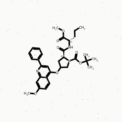 CCC[C@H](NC(=O)[C@@H]1CC(Oc2cc(-c3ccccc3)nc3cc(OC)ccc23)CN1C(=O)OC(C)(C)C)C(=O)OC